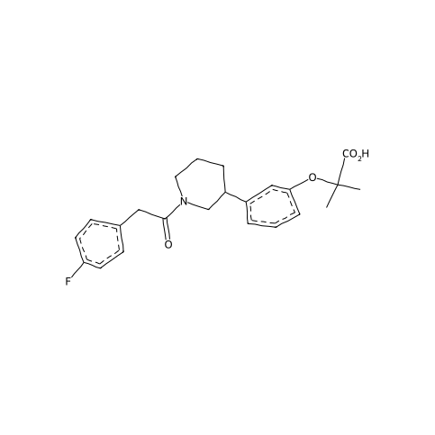 CC(C)(Oc1cccc(C2CCCN(C(=O)Cc3ccc(F)cc3)C2)c1)C(=O)O